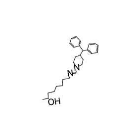 CC(O)CCCCCCN=CN1CCC(C(c2ccccc2)c2ccccc2)CC1